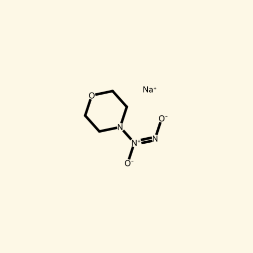 [Na+].[O-]/N=[N+](/[O-])N1CCOCC1